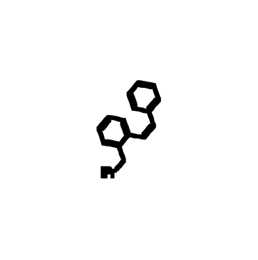 CC(C)Cc1ccccc1/C=C\c1ccccc1